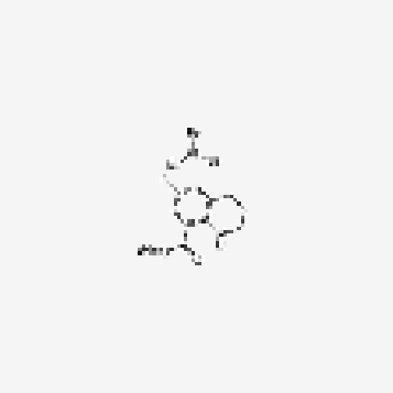 CCN(CC)CC.COC(=O)c1cc(I)cc2c1NCCC2